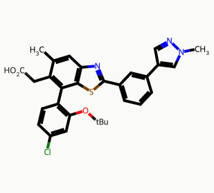 Cc1cc2nc(-c3cccc(-c4cnn(C)c4)c3)sc2c(-c2ccc(Cl)cc2OC(C)(C)C)c1CC(=O)O